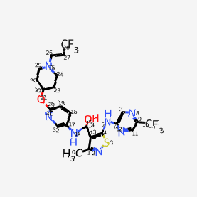 Cc1nsc(Nc2cnc(C(F)(F)F)cn2)c1C(O)Nc1ccc(OC2CCN(CCC(F)(F)F)CC2)nc1